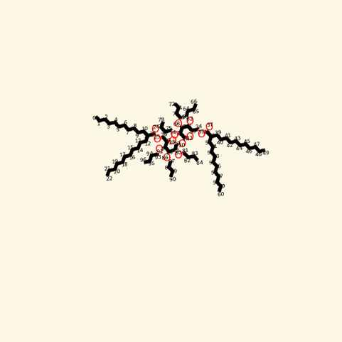 CCCCCCCCCCCC(CCCCCCCCCCC)C(=O)OCC1O[C@H](O[C@H]2OC(COC(=O)C(CCCCCCCCCCC)CCCCCCCCCCC)[C@@H](OCCCC)[C@H](OCCCC)C2OCCCC)C(OCCCC)[C@@H](OCCCC)[C@@H]1OCCCC